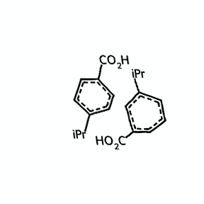 CC(C)c1ccc(C(=O)O)cc1.CC(C)c1cccc(C(=O)O)c1